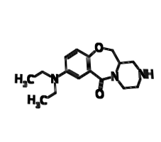 CCN(CC)c1ccc2c(c1)C(=O)N1CCNCC1CO2